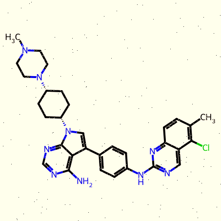 Cc1ccc2nc(Nc3ccc(-c4cn([C@H]5CC[C@@H](N6CCN(C)CC6)CC5)c5ncnc(N)c45)cc3)ncc2c1Cl